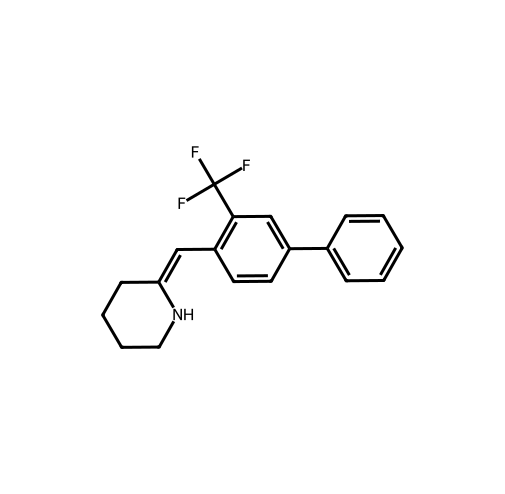 FC(F)(F)c1cc(-c2ccccc2)ccc1C=C1CCCCN1